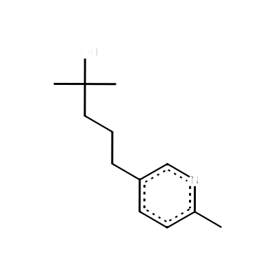 Cc1ccc(CCCC(C)(C)O)cn1